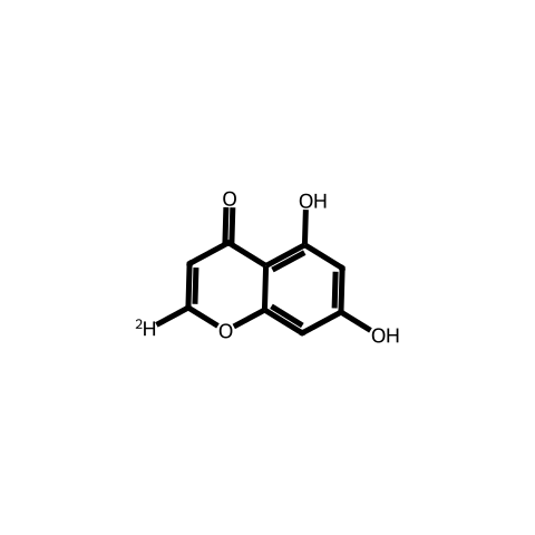 [2H]c1cc(=O)c2c(O)cc(O)cc2o1